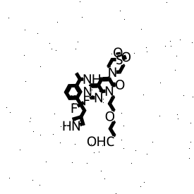 CC(Nc1ncnc2c1cc(N1CCS(=O)(=O)CC1)c(=O)n2CCCOCCCC=O)c1cccc(C(F)(F)CC2CNC2)c1